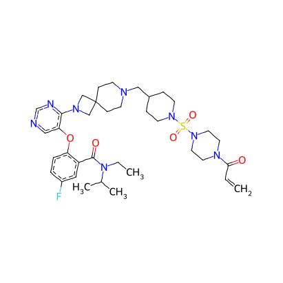 C=CC(=O)N1CCN(S(=O)(=O)N2CCC(CN3CCC4(CC3)CN(c3ncncc3Oc3ccc(F)cc3C(=O)N(CC)C(C)C)C4)CC2)CC1